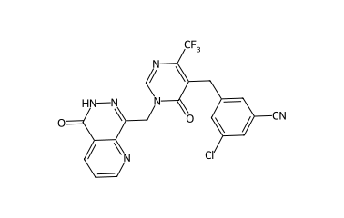 N#Cc1cc(Cl)cc(Cc2c(C(F)(F)F)ncn(Cc3n[nH]c(=O)c4cccnc34)c2=O)c1